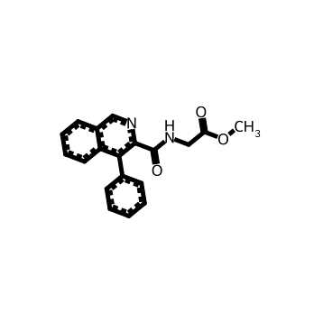 COC(=O)CNC(=O)c1ncc2ccccc2c1-c1ccccc1